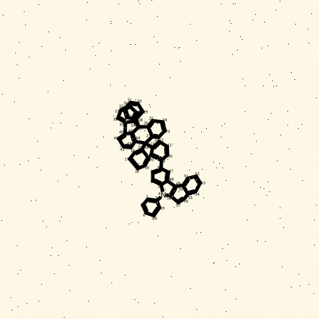 c1ccc(-n2c3ccc(-c4cccc(C5(c6ccccc6)c6ccccc6C6(c7ccccc7)c7ccccc7-c7cccc5c76)c4)cc3c3c4ccccc4ccc32)cc1